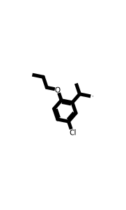 [CH2]C(C)c1cc(Cl)ccc1OCCC